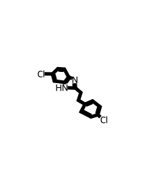 Clc1ccc(CCc2nc3ccc(Cl)cc3[nH]2)cc1